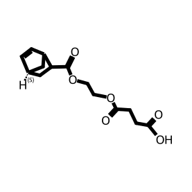 O=C(O)CCC(=O)OCCOC(=O)C1C[C@H]2C=CC1C2